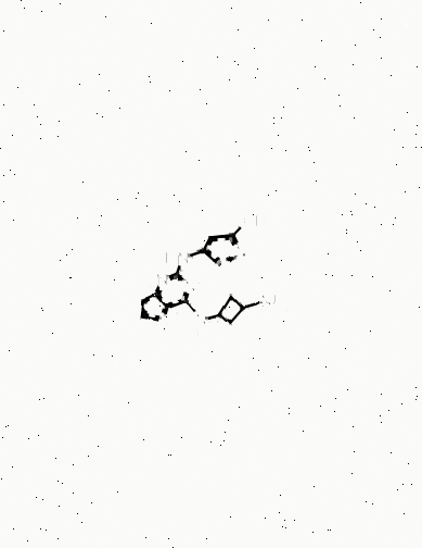 Cc1cc(Nc2nc(NC3CC(N)C3)c3sccc3n2)sn1